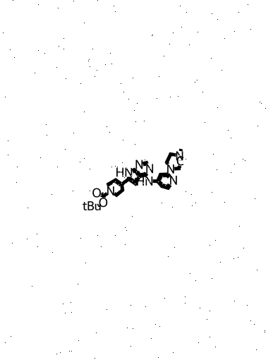 CN1CCN(c2cc(Nc3ncnc4[nH]c(C5=CCN(C(=O)OC(C)(C)C)CC5)cc34)ccn2)CC1